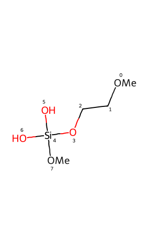 COCCO[Si](O)(O)OC